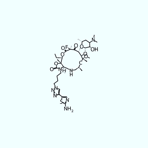 CC[C@H]1OC(=O)[C@@](C)(F)C(=O)[C@H](C)[C@@H](O[C@@H]2O[C@H](C)CC(N(C)C)C2O)[C@](C)(OC)C[C@@H](C)CN[C@H](C)[C@H]2N(CCCCn3cc(-c4cnc(N)s4)nn3)C(=O)O[C@]12C